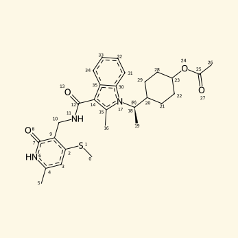 CSc1cc(C)[nH]c(=O)c1CNC(=O)c1c(C)n([C@H](C)C2CCC(OC(C)=O)CC2)c2ccccc12